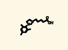 Cc1cc(C)c(N2CCN(CCCCC(=O)O)C2)c(C)c1